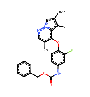 COc1cn2ncc(C#N)c(Oc3ccc(NC(=O)OCc4ccccc4)cc3F)c2c1C